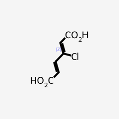 O=C(O)C=C/C(Cl)=C/C(=O)O